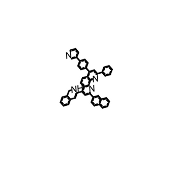 C1=C(c2cc(-c3ccc4ccccc4c3)nc3c2ccc2c(-c4ccc(-c5cccnc5)cc4)cc(-c4ccccc4)nc23)NCc2ccccc21